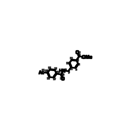 COC(=O)c1ccc(CNC(=O)c2ccc(C(C)=O)cc2)cc1